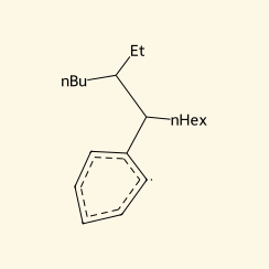 CCCCCCC(c1[c]cccc1)C(CC)CCCC